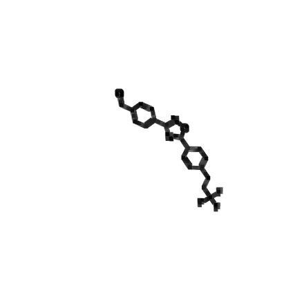 O=Cc1ccc(-c2noc(-c3ccc(CCC(F)(F)F)cc3)n2)cc1